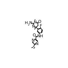 CSc1cnc(C(=O)Nc2ccc(F)c(C3(C)CC(=O)N(C)C(N)=N3)c2)cn1